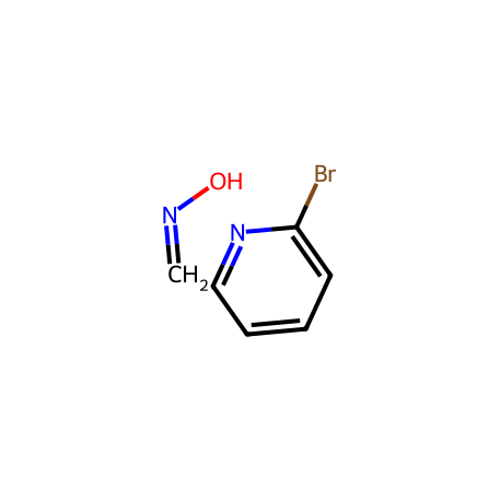 Brc1ccccn1.C=NO